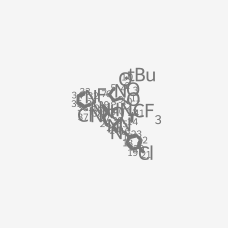 CC(C)(C)OC(=O)N1C[C@@H](F)C[C@@H]1C(=O)NC(Cn1c(-c2ccc(Cl)cc2)nn(Cc2ncn(-c3ncccc3Cl)n2)c1=O)C(F)(F)F